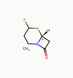 C.O=C1C[C@H]2SC(F)CCN12